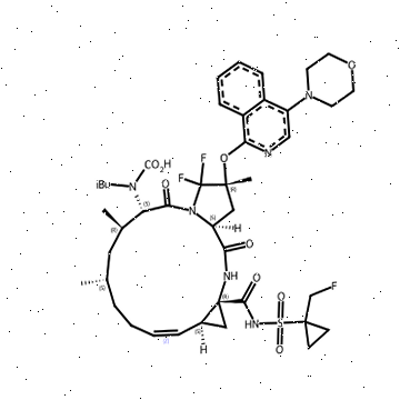 CCC(C)N(C(=O)O)[C@@H]1C(=O)N2[C@@H](C[C@@](C)(Oc3ncc(N4CCOCC4)c4ccccc34)C2(F)F)C(=O)N[C@]2(C(=O)NS(=O)(=O)C3(CF)CC3)C[C@H]2/C=C\CC[C@H](C)C[C@H]1C